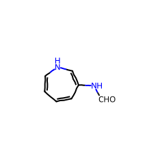 O=CNC1=CNC=CC=C1